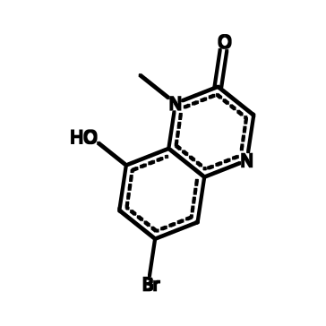 Cn1c(=O)cnc2cc(Br)cc(O)c21